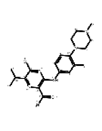 Cc1cc(Nc2nc(Cl)c(C(C)C)nc2C(N)=O)ccc1N1CCN(C)CC1